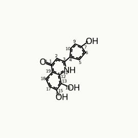 O=c1cc(-c2ccc(O)cc2)[nH]c2c(O)c(O)ccc12